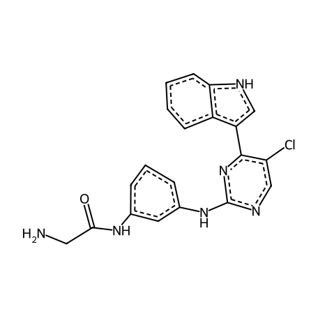 NCC(=O)Nc1cccc(Nc2ncc(Cl)c(-c3c[nH]c4ccccc34)n2)c1